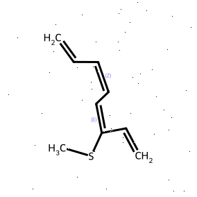 C=C/C=C\C=C(/C=C)SC